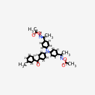 CC(=O)O/N=C(\C)c1ccc(N(c2ccc(C(=O)c3cccc(C)c3)cc2)c2ccc(/C(C)=N/OC(C)=O)cc2)cc1